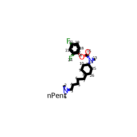 CCCCCN(C)CCCCCC1CCC(N(C)C(=O)Oc2ccc(F)cc2F)CC1